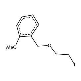 COc1ccccc1COCCI